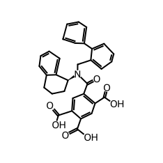 O=C(O)c1cc(C(=O)O)c(C(=O)N(Cc2ccccc2-c2ccccc2)[C@H]2CCCc3ccccc32)cc1C(=O)O